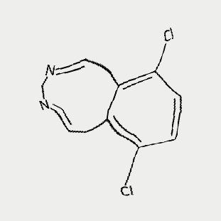 Clc1ccc(Cl)c2cnncc12